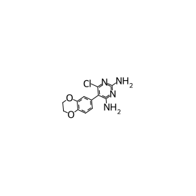 Nc1nc(N)c(-c2ccc3c(c2)OCCO3)c(Cl)n1